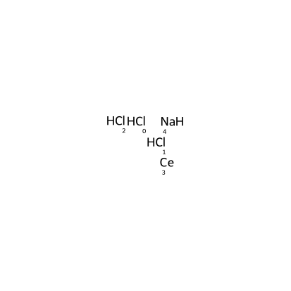 Cl.Cl.Cl.[Ce].[NaH]